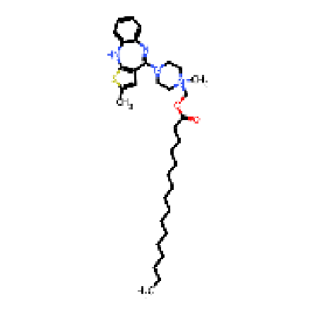 CCCCCCCCCCCCCCCC(=O)OC[N+]1(C)CCN(C2=Nc3ccccc3Nc3sc(C)cc32)CC1